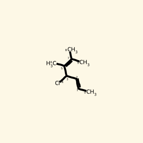 CC=CC(Cl)C(C)=C(C)C